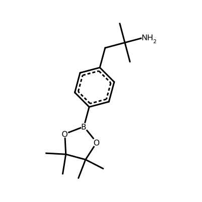 CC(C)(N)Cc1ccc(B2OC(C)(C)C(C)(C)O2)cc1